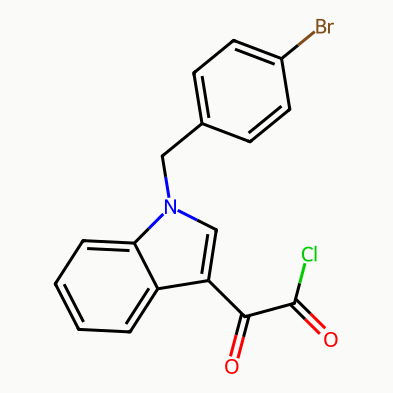 O=C(Cl)C(=O)c1cn(Cc2ccc(Br)cc2)c2ccccc12